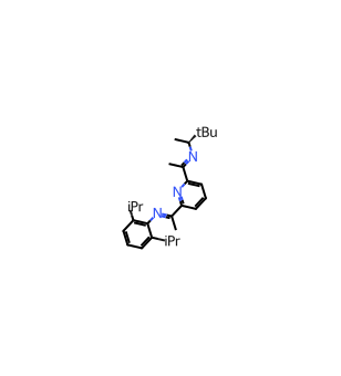 C/C(=N\c1c(C(C)C)cccc1C(C)C)c1cccc(/C(C)=N/[C@@H](C)C(C)(C)C)n1